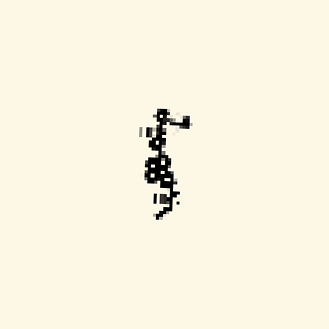 CCCCc1ncc(-c2ccc(-c3ccc(-c4ccc5[nH]c([C@@H]6CCCN6C(=O)OC(C)(C)C)nc5c4)c4c3C3(CCCC3)CC4)cc2)[nH]1